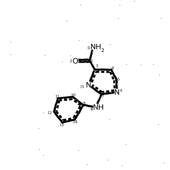 NC(=O)c1ccnc(Nc2ccccc2)n1